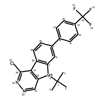 CC(C)(C)[SH]1c2cc(-c3ccc(C(F)(F)F)cc3)ccc2-c2c1cnnc2Cl